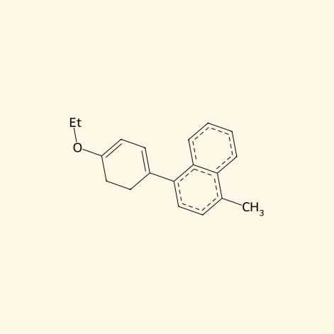 CCOC1=CC=C(c2ccc(C)c3ccccc23)CC1